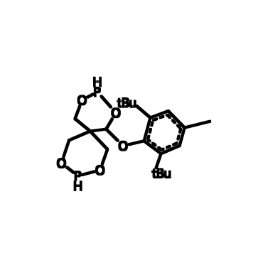 Cc1cc(C(C)(C)C)c(OC2OPOCC23COPOC3)c(C(C)(C)C)c1